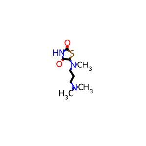 CN(C)CCCN(C)C1SC(=O)NC1=O